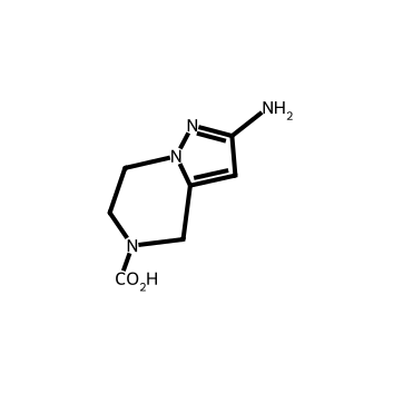 Nc1cc2n(n1)CCN(C(=O)O)C2